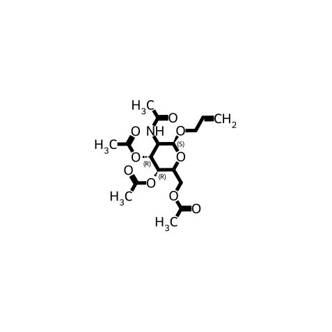 C=CCO[C@H]1OC(COC(C)=O)[C@H](OC(C)=O)[C@H](OC(C)=O)C1NC(C)=O